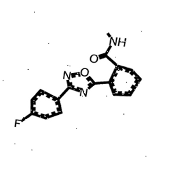 CNC(=O)c1ccccc1-c1nc(-c2ccc(F)cc2)no1